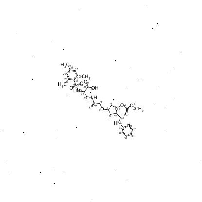 COC(=O)ON1CC(OCC(=O)NCC(NS(=O)(=O)c2c(C)cc(C)cc2C)C(=O)O)CC1CNc1ccccn1